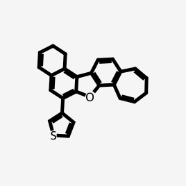 C1=Cc2ccc3c(oc4c(-c5ccsc5)cc5c(c43)CCC=C5)c2C=CC1